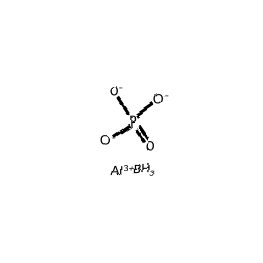 B.O=P([O-])([O-])[O-].[Al+3]